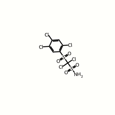 NS(=O)(=O)C(Cl)(Cl)S(=O)(=O)c1cc(Cl)c(Cl)cc1Cl